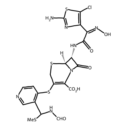 CSC(NC=O)c1cnccc1SC1=C(C(=O)O)N2C(=O)[C@@H](NC(=O)/C(=N\O)c3nc(N)sc3Cl)[C@@H]2SC1